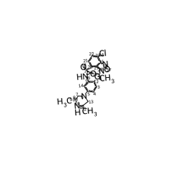 COc1ccc(N2C[C@@H](C)N[C@@H](C)C2)cc1NS(=O)(=O)c1ccc(Cl)c2nonc12